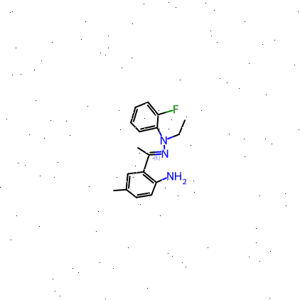 CCN(/N=C(\C)c1cc(C)ccc1N)c1ccccc1F